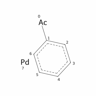 CC(=O)c1ccccc1.[Pd]